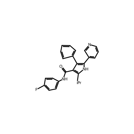 CC(C)c1[nH]c(-c2cccnc2)c(-c2ccccc2)c1C(=O)Nc1ccc(F)cc1